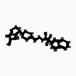 O=c1[nH]c2cccc(N3CCN(CCCN(Cl)S(=O)(=O)c4ccc5ccccc5c4)CC3)c2[nH]1